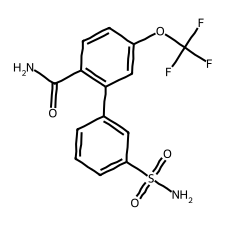 NC(=O)c1ccc(OC(F)(F)F)cc1-c1cccc(S(N)(=O)=O)c1